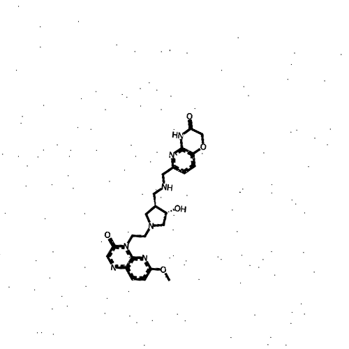 COc1ccc2ncc(=O)n(CCN3C[C@@H](CNCc4ccc5c(n4)NC(=O)CO5)[C@H](O)C3)c2n1